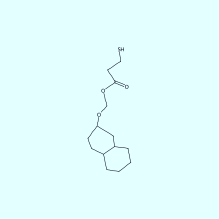 O=C(CCS)OCOC1CCC2CCCCC2C1